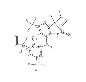 C=CC(=O)Oc1c(C(C)c2cc(C(C)(C)C)cc(C(C)(C)C=C)c2O)cc(C(C)(C)C)cc1C(C)(C)CC